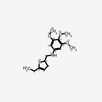 CCC1=CCC(CNc2cc(OC)c(OC)c(OC)c2)S1